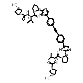 CC(C)[C@H](NC(=O)N1CC[C@H](O)C1)C(=O)N1CCC[C@H]1c1ncc(-c2ccc(C#Cc3ccc(-c4cnc([C@@H]5CCCN5C(=O)[C@@H](NC(=O)N5CC[C@H](O)C5)C(C)C)[nH]4)cc3)cc2)[nH]1